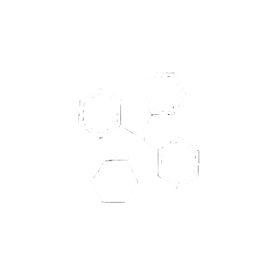 c1cc[c]([Sn]([c]2ccccc2)([c]2ccccc2)[CH]2CCCCC2)cc1